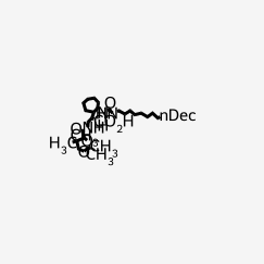 CCCCCCCCCCCCCCCCCCNC(=O)NC1CCCCCC1C(CNC(=O)C1OC(C)(C)OCC1(C)C)C(=O)O